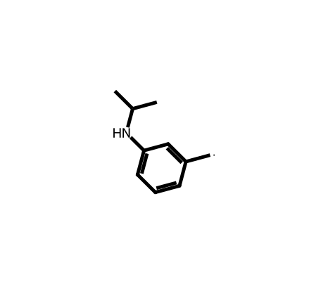 [CH2]c1cccc(NC(C)C)c1